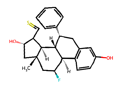 C[C@@]12C[C@H](O)C(C=S)[C@H]1[C@H]1[C@@H](c3ccc(O)cc3C[C@H]1c1ccccc1)[C@@H](F)C2